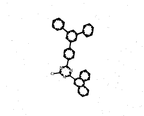 Clc1nc(-c2ccc(-c3cc(-c4ccccc4)cc(-c4ccccc4)c3)cc2)nc(-c2cc3ccccc3c3ccccc23)n1